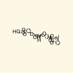 CCn1cc(S(=O)(=O)N2CCC3(CC2)C[C@@H](NC[C@H](O)COc2cccc(S(=O)(=O)C(C)(C)CO)c2)CO3)c(=O)c2ccccc21